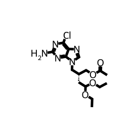 CCOC(C[C@@H](COC(C)=O)Cn1cnc2c(Cl)nc(N)nc21)OCC